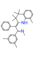 C/N=C(/C(=C1\Nc2c(C)cccc2C(C)(C)C1(C)C)c1ccccc1)c1cc(C)cc(C)c1